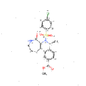 COC(=O)c1ccc(C(C)N(C2CCCCNC2=O)S(=O)(=O)c2ccc(Cl)cc2)cc1